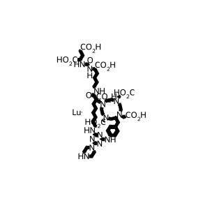 O=C(O)CCC(NC(=O)NC(CCCCNC(=O)CCCCCCCNc1nc(Nc2ccc(CC3CN(C(=O)O)CCN(CC(=O)O)CCN(CC(=O)O)CCN3CC(=O)O)cc2)nc(N2CCNCC2)n1)C(=O)O)C(=O)O.[Lu]